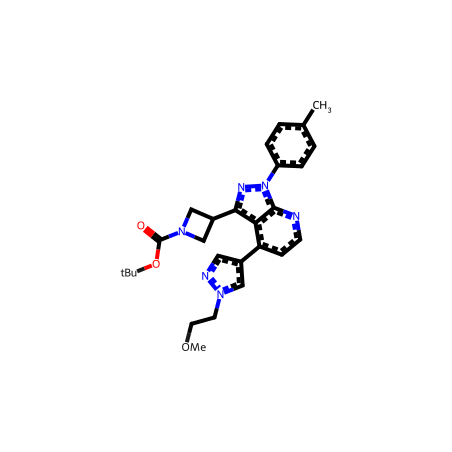 COCCn1cc(-c2ccnc3c2c(C2CN(C(=O)OC(C)(C)C)C2)nn3-c2ccc(C)cc2)cn1